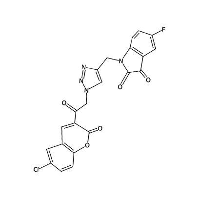 O=C1C(=O)N(Cc2cn(CC(=O)c3cc4cc(Cl)ccc4oc3=O)nn2)c2ccc(F)cc21